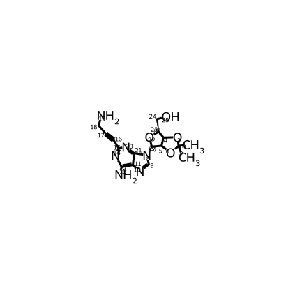 CC1(C)OC2C(O1)[C@@H](n1cnc3c(N)nc(C#CCN)nc31)O[C@H]2CO